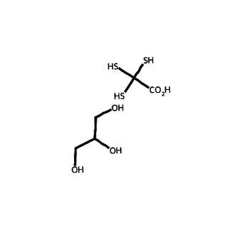 O=C(O)C(S)(S)S.OCC(O)CO